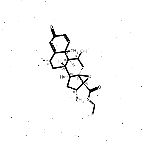 C[C@@H]1C[C@H]2[C@@H]3C[C@H](F)C4=CC(=O)C=C[C@]4(C)[C@@]3(F)[C@@H](O)C[C@@]23O[C@]13C(=O)SCF